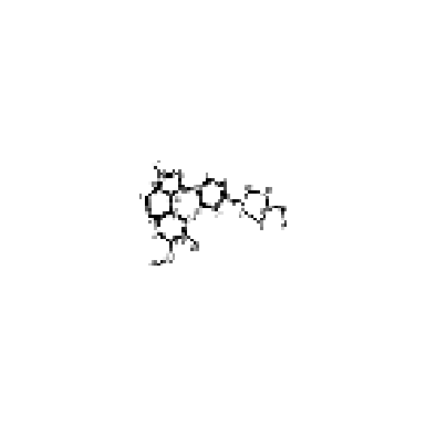 CCN1CCN(c2ccc(-c3nn(C)c4cnc5cc(OC)c(C)cc5c34)cc2)CC1